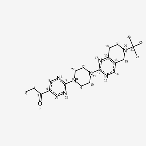 CCC(=O)c1cnc(N2CCN(c3ncc4c(n3)CCN(C(C)(C)C)C4)CC2)nc1